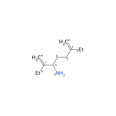 C=C(CC)CCC(N)C(=C)CC